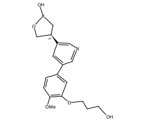 COc1ccc(-c2cncc([C@H]3COB(O)C3)c2)cc1OCCCO